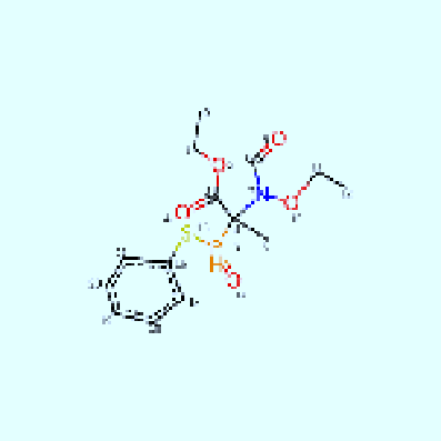 CCOC(=O)C(C)(N(C=O)OCC)[PH](=O)Sc1ccccc1